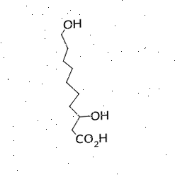 O=C(O)CC(O)CCCCCCCO